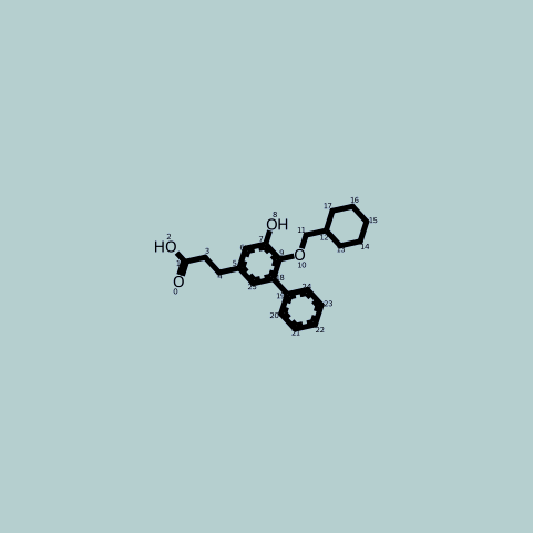 O=C(O)CCc1cc(O)c(OCC2CCCCC2)c(-c2ccccc2)c1